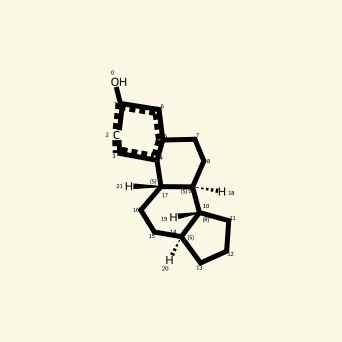 Oc1ccc2c(c1)CC[C@H]1[C@@H]3CCC[C@H]3CC[C@H]21